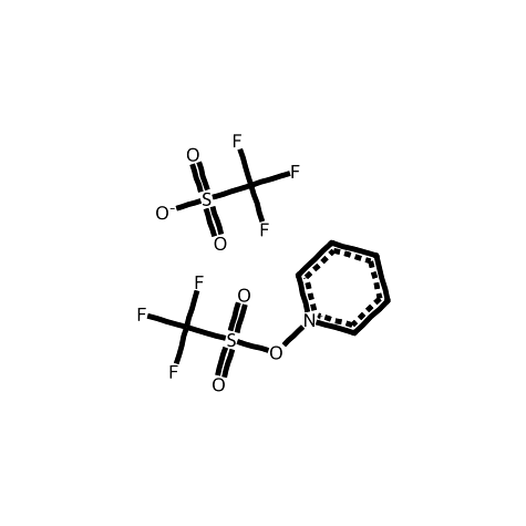 O=S(=O)(O[n+]1ccccc1)C(F)(F)F.O=S(=O)([O-])C(F)(F)F